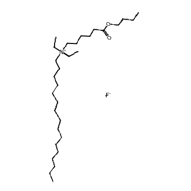 CCCCCCCCCCCCCCCC[N+](CC)(CC)CCCCCC(=O)OCCCC.[F-]